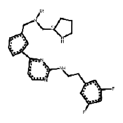 CCN(Cc1cccc(-c2ccnc(NCCc3cc(F)cc(F)c3)n2)c1)C[C@H]1CCCN1